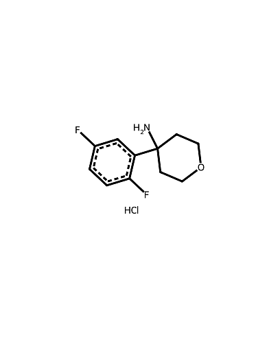 Cl.NC1(c2cc(F)ccc2F)CCOCC1